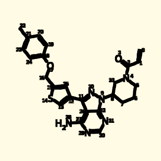 C=CC(=O)N1CCCC(n2nc(-c3csc(COc4ccc(C)cc4)c3)c3c(N)ncnc32)C1